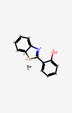 Oc1ccccc1-c1nc2ccccc2s1.[Be]